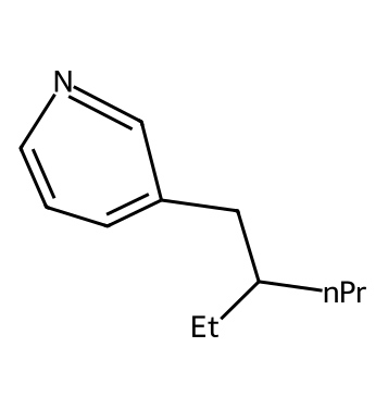 CCCC(CC)Cc1cccnc1